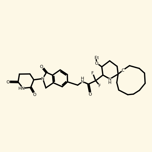 CCOC1CCC2(CCCCCCCCCC2)NC1C(F)(F)C(=O)NCc1ccc2c(c1)CN(C1CCC(=O)NC1=O)C2=O